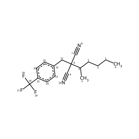 CCCCC(C)C(C#N)(C#N)Cc1ccc(C(F)(F)F)cc1